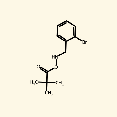 CC(C)(C)C(=O)ONCc1ccccc1Br